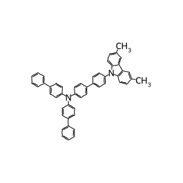 Cc1ccc2c(c1)c1cc(C)ccc1n2-c1ccc(-c2ccc(N(c3ccc(-c4ccccc4)cc3)c3ccc(-c4ccccc4)cc3)cc2)cc1